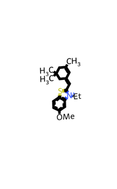 CC[n+]1c(/C=C2/C=C(C)CC(C)(C)C2)sc2ccc(OC)cc21